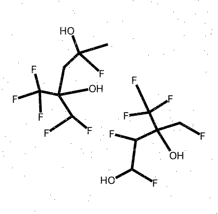 CC(O)(F)CC(O)(C(F)F)C(F)(F)F.OC(F)C(F)C(O)(CF)C(F)(F)F